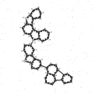 c1ccc2c(c1)-c1cccc3c(-c4ccc5sc6ccc(-n7c8ccccc8c8c9c(ccc87)sc7ccccc79)cc6c5c4)ccc-2c13